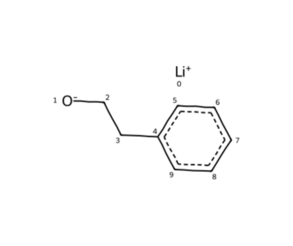 [Li+].[O-]CCc1ccccc1